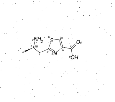 C[C@@H](N)Cc1nc(C(=O)O)cs1